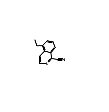 CCc1cccc2c(C#N)nccc12